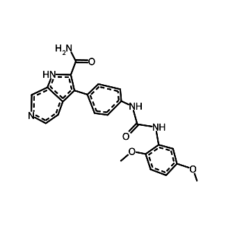 COc1ccc(OC)c(NC(=O)Nc2ccc(-c3c(C(N)=O)[nH]c4cnccc34)cc2)c1